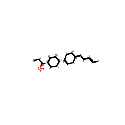 C/C=C/CCC1CCC([C@H]2CC[C@H](C(O)CC)CC2)CC1